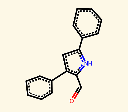 O=Cc1[nH]c(-c2ccccc2)cc1-c1ccccc1